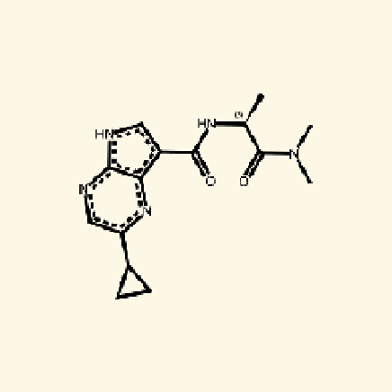 C[C@H](NC(=O)c1c[nH]c2ncc(C3CC3)nc12)C(=O)N(C)C